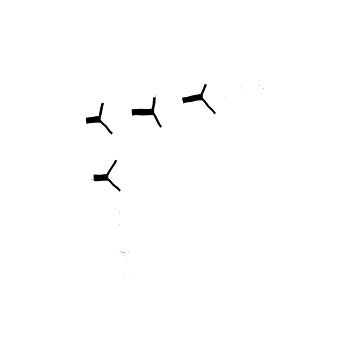 [Na+].[Na+].[Na+].[Na+].[Na+].[Na+].[Na+].[Na+].[O-]C([O-])=S.[O-]C([O-])=S.[O-]C([O-])=S.[O-]C([O-])=S